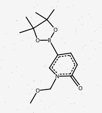 COCn1cc(B2OC(C)(C)C(C)(C)O2)ccc1=O